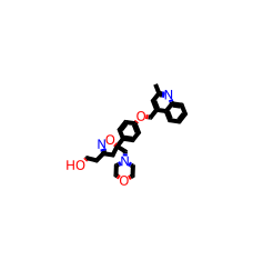 Cc1cc(COc2ccc(C3(CN4CCOCC4)CC(CCO)=NO3)cc2)c2ccccc2n1